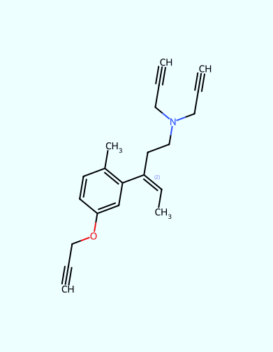 C#CCOc1ccc(C)c(/C(=C\C)CCN(CC#C)CC#C)c1